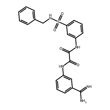 N=C(N)c1cccc(NC(=O)C(=O)Nc2cccc(S(=O)(=O)NCc3ccccc3)c2)c1